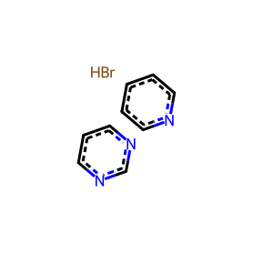 Br.c1ccncc1.c1cncnc1